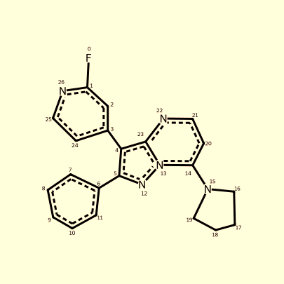 Fc1cc(-c2c(-c3ccccc3)nn3c(N4CCCC4)ccnc23)ccn1